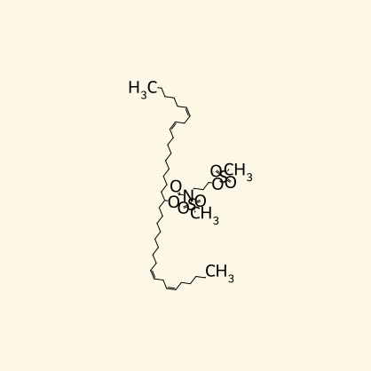 CCCCC/C=C\C/C=C\CCCCCCCCC(CCCCCCCC/C=C\C/C=C\CCCCC)OC(=O)N(CCCOS(C)(=O)=O)S(C)(=O)=O